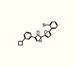 Brc1ccccc1-c1ccc(-c2ncc(-c3cccc(C4CCC4)c3)[nH]2)o1